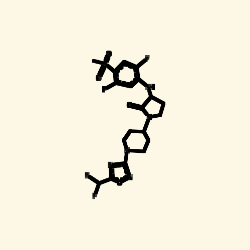 CS(=O)(=O)c1cc(F)c(NC2CCN(C3CCN(c4noc(C(F)F)n4)CC3)C2=O)cc1F